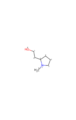 CN1CCCC1CCO